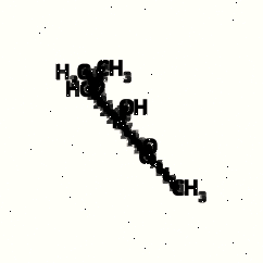 CCCCCCCCCOC(=O)CCCCCCCN(CCO)CCCCCCCC(O)OC(CCC)CCC